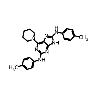 Cc1ccc(Nc2nc(N3CCCCC3)c3nc(Nc4ccc(C)cc4)[nH]c3n2)cc1